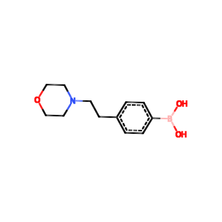 OB(O)c1ccc(CCN2CCOCC2)cc1